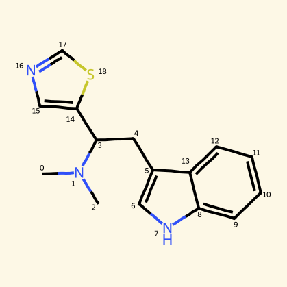 CN(C)C(Cc1c[nH]c2ccccc12)c1cncs1